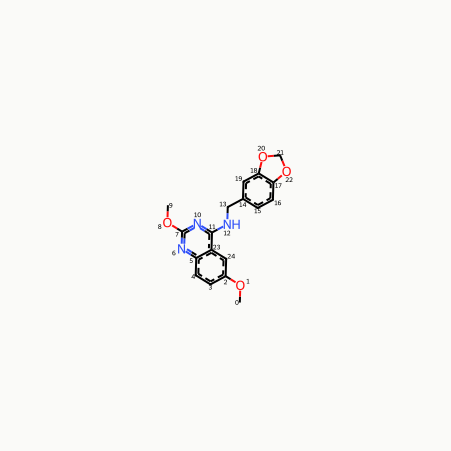 COc1ccc2nc(OC)nc(NCc3ccc4c(c3)OCO4)c2c1